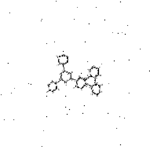 c1ccc(-c2cc(-c3ccccc3)nc(-c3ccc4c5ccccc5c5ccccc5c4c3)c2)cc1